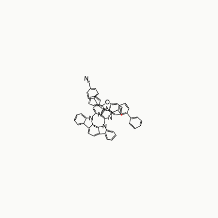 N#Cc1ccc(-c2cc(-n3c4ccccc4c4ccc5c6ccccc6n(-c6nc(-c7ccccc7)nc(-c7cccc(-c8ccccc8)c7)n6)c5c43)cc3c2oc2ccccc23)cc1